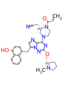 C=CC(=O)N1CCN(c2nc(OC[C@@H]3CCCN3C)nn3c(Cc4ccc(O)c5ccccc45)cnc23)C[C@@H]1CC#N